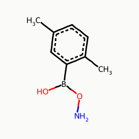 Cc1ccc(C)c(B(O)ON)c1